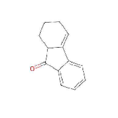 O=C1c2ccccc2C2=CCCCC12